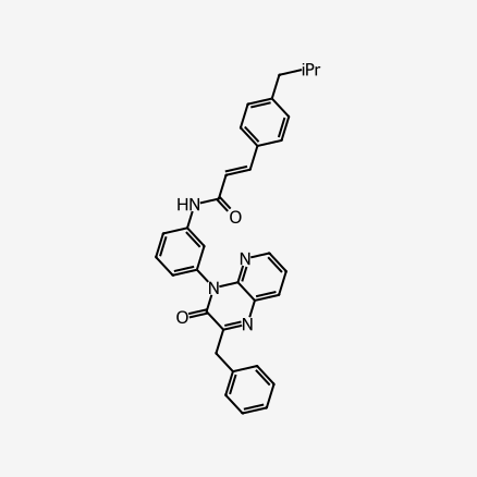 CC(C)Cc1ccc(C=CC(=O)Nc2cccc(-n3c(=O)c(Cc4ccccc4)nc4cccnc43)c2)cc1